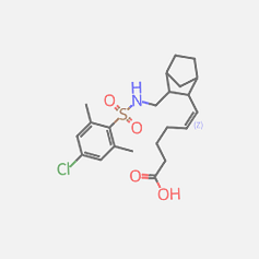 Cc1cc(Cl)cc(C)c1S(=O)(=O)NCC1C2CCC(C2)C1/C=C\CCCC(=O)O